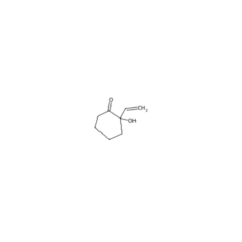 C=CC1(O)CCCCC1=O